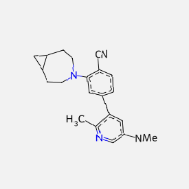 CNc1cnc(C)c(-c2ccc(C#N)c(N3CCC4CC4CC3)c2)c1